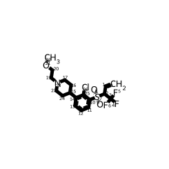 C=CC(C(F)(F)F)S(=O)(=O)c1cccc(C2CCN(CCOC)CC2)c1Cl